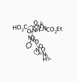 CCOC(=O)N1CCN(C(=O)[C@H](CCC(=O)O)NC(=O)c2cc(OCC(=O)N3CCC[C@H]3C(=O)NCC3CC3)n(-c3ccccc3)n2)[C@@H](C)C1